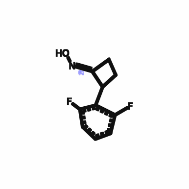 O/N=C1\CCC1c1c(F)cccc1F